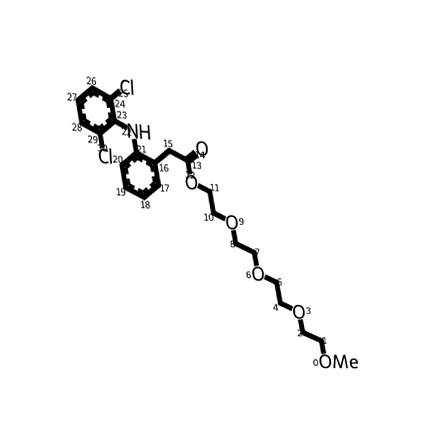 COCCOCCOCCOCCOC(=O)Cc1ccccc1Nc1c(Cl)cccc1Cl